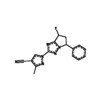 Cc1nn(-c2nc3n(n2)C(c2ccccc2)CC3F)cc1C#N